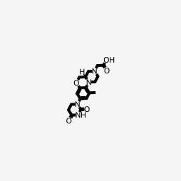 Cc1cc(N2CCC(=O)NC2=O)cc2c1N1CCN(CC(=O)O)C[C@@H]1CO2